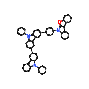 c1ccc(-n2c3ccccc3c3cc(-c4ccc5c(c4)c4cc(-c6ccc(-n7c8ccccc8c8c9ccccc9oc87)cc6)ccc4n5-c4ccccc4)ccc32)cc1